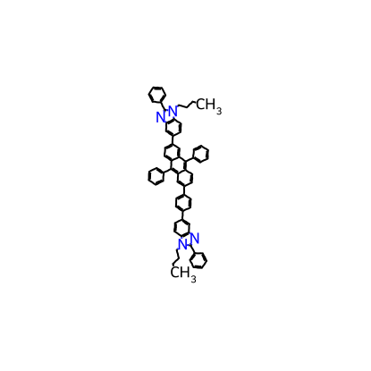 CCCCn1c(-c2ccccc2)nc2cc(-c3ccc(-c4ccc5c(-c6ccccc6)c6cc(-c7ccc8c(c7)nc(-c7ccccc7)n8CCCC)ccc6c(-c6ccccc6)c5c4)cc3)ccc21